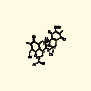 COC1=C(C)C(=O)C2=C(C1=O)[C@@H]1N[C@@H](C2)[C@H](C#N)N2[C@@H](CNC(=O)C(C)=O)C3=C(C[C@@H]12)C(=O)C(C)=C(CO)C3=O